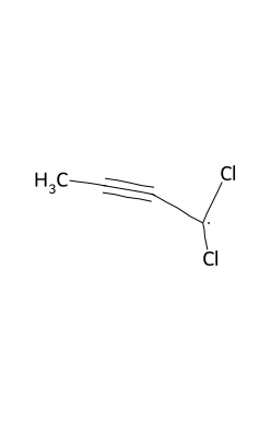 CC#C[C](Cl)Cl